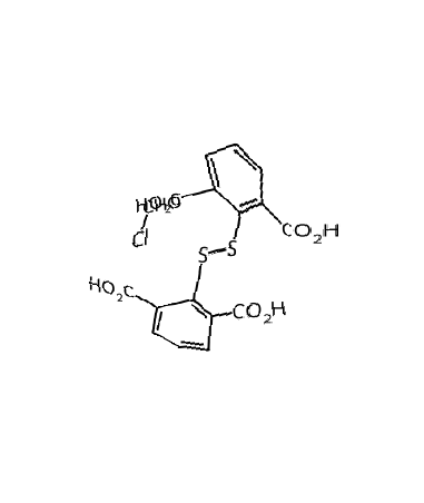 O=C(O)c1cccc(C(=O)O)c1SSc1c(C(=O)O)cccc1C(=O)O.O=CCl